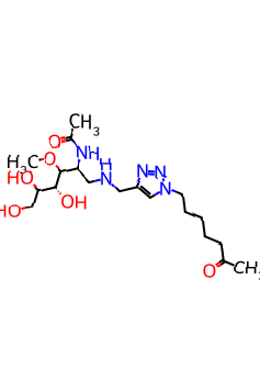 COC(C(CNCc1cn(CCCCCC(C)=O)nn1)NC(C)=O)[C@H](O)C(O)CO